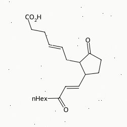 CCCCCCC(=O)C=CC1CCC(=O)C1CC=CCCC(=O)O